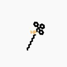 CCCCCCCCCCCPCCC(c1ccccc1)(c1ccccc1)c1ccccc1